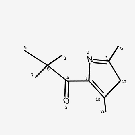 CC1=NC(C(=O)C(C)(C)C)=C(C)C1